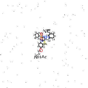 CC(=O)NCCCOc1ccc2nc(C(Cc3cccc(C#N)c3)NS(=O)(=O)c3ccccc3)sc2c1